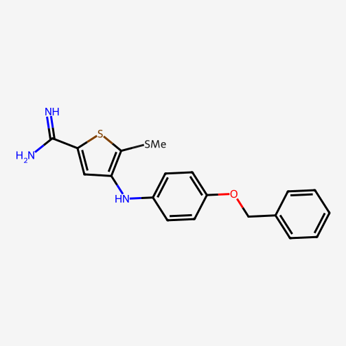 CSc1sc(C(=N)N)cc1Nc1ccc(OCc2ccccc2)cc1